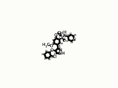 COc1cc(OC)c(S(=O)(=O)Nc2ccncc2)cc1-c1n[nH]cc1Oc1ccccc1Cl